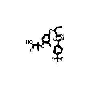 CCC(Oc1ccc(OC(C)(C)C(=O)O)c(C)c1)c1nnc(-c2ccc(C(F)(F)F)cc2)o1